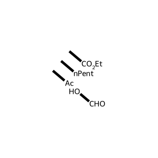 CC(C)=O.CCCCCC.CCOC(C)=O.O=CO